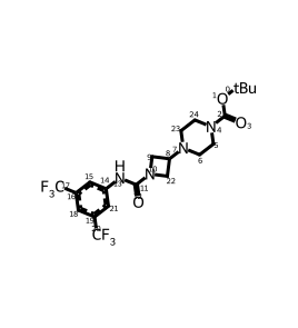 CC(C)(C)OC(=O)N1CCN(C2CN(C(=O)Nc3cc(C(F)(F)F)cc(C(F)(F)F)c3)C2)CC1